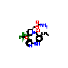 Cc1ccc(Nc2cc(OC(F)(F)F)ccn2)cc1C(=O)N1CC(F)(F)CC[C@@H]1COC(N)=O